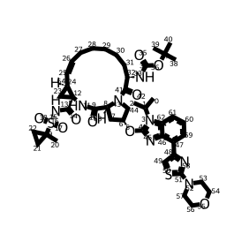 CC(C)n1c(O[C@@H]2C[C@H]3C(=O)N[C@]4(C(=O)NS(=O)(=O)C5(C)CC5)C[C@H]4/C=C\CCCCC[C@H](NC(=O)OC(C)(C)C)C(=O)N3C2)nc2c(-c3csc(N4CCOCC4)n3)cccc21